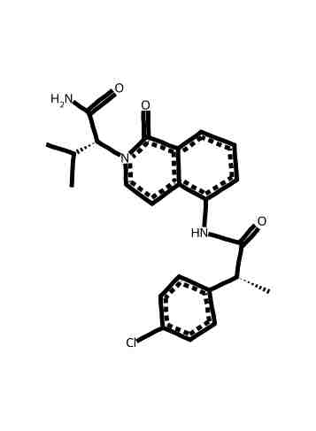 CC(C)[C@H](C(N)=O)n1ccc2c(NC(=O)[C@H](C)c3ccc(Cl)cc3)cccc2c1=O